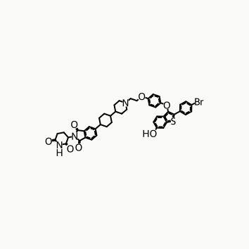 O=C1CCC(N2C(=O)c3ccc(C4CCC(C5CCN(CCOc6ccc(Oc7c(-c8ccc(Br)cc8)sc8cc(O)ccc78)cc6)CC5)CC4)cc3C2=O)C(=O)N1